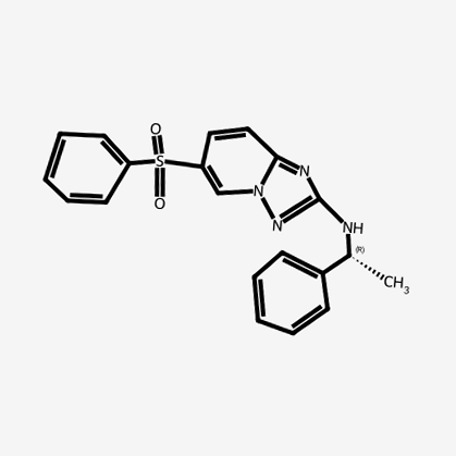 C[C@@H](Nc1nc2ccc(S(=O)(=O)c3ccccc3)cn2n1)c1ccccc1